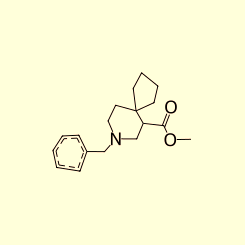 COC(=O)C1CN(Cc2ccccc2)CCC12CCCC2